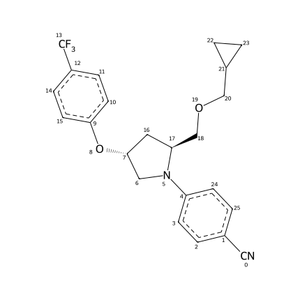 N#Cc1ccc(N2C[C@H](Oc3ccc(C(F)(F)F)cc3)C[C@H]2COCC2CC2)cc1